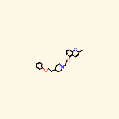 Cc1ccc2c(OCCN3CCC(CCOc4ccccc4)CC3)cccc2n1